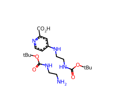 CC(C)(C)OC(=O)NCCN.CC(C)(C)OC(=O)NCCNc1ccnc(C(=O)O)c1